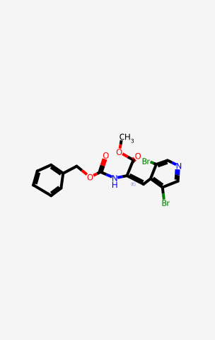 COC(=O)/C(=C\c1c(Br)cncc1Br)NC(=O)OCc1ccccc1